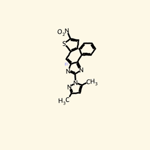 Cc1cc(C)n(C2=N/C(=C/c3ccc([N+](=O)[O-])s3)C(c3ccccc3)=N2)n1